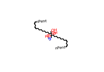 CCCCC/C=C\C/C=C\CCCCCCCC(=O)C(O)(CO)C(O)(CN(C)C)C(=O)CCCCCCC/C=C\C/C=C\CCCCC